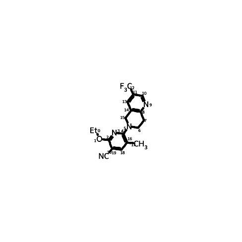 CCOc1nc(N2CCc3ncc(C(F)(F)F)cc3C2)c(C)cc1C#N